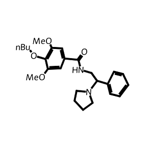 CCCCOc1c(OC)cc(C(=O)NCC(c2ccccc2)N2CCCC2)cc1OC